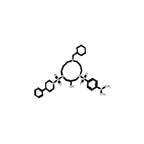 CN(C)c1ccc(S(=O)(=O)N2CCCN(CC3CCCCC3)CCCN(S(=O)(=O)N3CCC(c4ccccc4)CC3)CC(O)C2)cc1